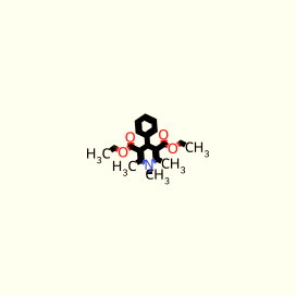 CCOC(=O)C1=C(C)N(C)C(C)=C(C(=O)OCC)C1c1ccccc1